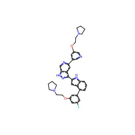 Fc1cc(OCCN2CCCC2)cc(-c2cccc3[nH]c(-c4n[nH]c5cnc(-c6cncc(OCCN7CCCC7)c6)cc45)cc23)c1